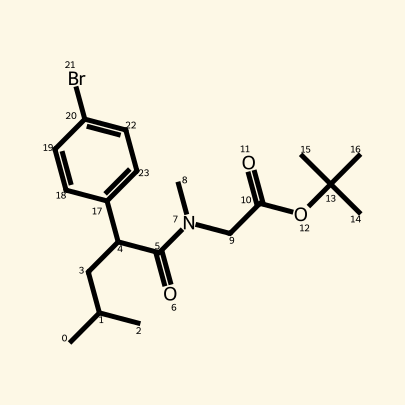 CC(C)CC(C(=O)N(C)CC(=O)OC(C)(C)C)c1ccc(Br)cc1